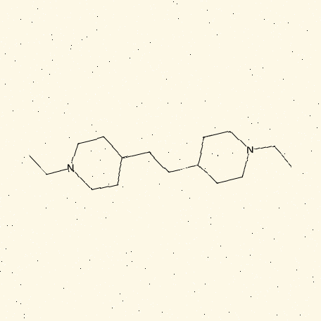 CCN1CCC(CCC2CCN(CC)CC2)CC1